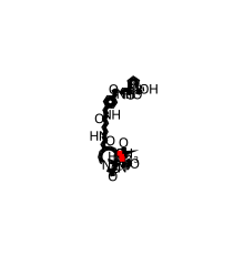 CC12CCC(CC(=O)NCCCC(=O)NCc3ccc(C(=O)NCC(=O)N4CCC[C@H]4B(O)O)cc3)CCCN3CC(=O)OC4(C3)CN3CC(=O)OC(CNCC(=O)O1)(C3)N24